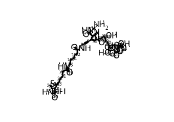 Nc1nc2c(c(C#CCNC(=O)CCCCCNC(=O)CCCCC3SCC4NC(=O)NC43)cn2[C@H]2CC(O)[C@@H](COP(=O)(O)OP(=O)(O)OP(=O)(O)O)O2)c(=O)[nH]1